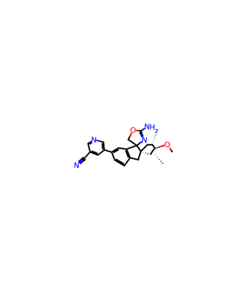 CO[C@H]1[C@H](C)C[C@@]2(Cc3ccc(-c4cncc(C#N)c4)cc3C23COC(N)=N3)C[C@@H]1C